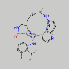 C[C@H]1/C=C\CC2CNC(=O)c3c2[nH]c(c3Nc2cccc(F)c2C(F)F)-c2ccnc3ccc(nc23)N1